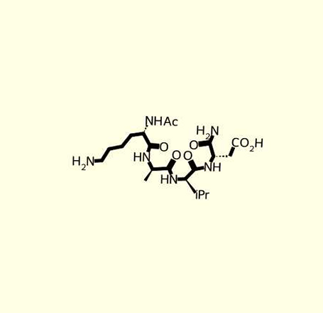 CC(=O)N[C@@H](CCCCN)C(=O)N[C@H](C)C(=O)N[C@@H](C(=O)N[C@@H](CC(=O)O)C(N)=O)C(C)C